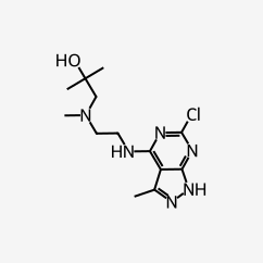 Cc1n[nH]c2nc(Cl)nc(NCCN(C)CC(C)(C)O)c12